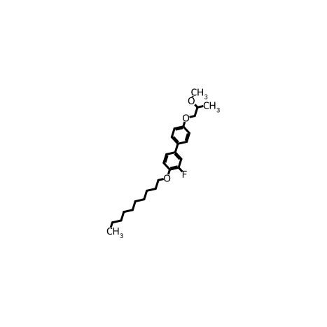 CCCCCCCCCCOc1ccc(-c2ccc(OCC(C)OC)cc2)cc1F